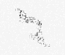 CC(C)(C)c1cc2ccc3cc4c(c5ccc(c1)c2c35)-c1ccc(-c2ccc(-c3ncnc(-c5ccc(-c6ccc7c(c6)C(C)(C)c6cc8ccc9cc(C(C)(C)C)cc%10ccc(c6-7)c8c9%10)cc5)n3)cc2)cc1C4(C)C